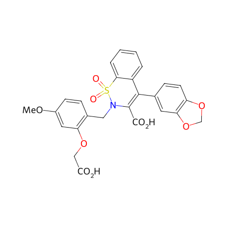 COc1ccc(CN2C(C(=O)O)=C(c3ccc4c(c3)OCO4)c3ccccc3S2(=O)=O)c(OCC(=O)O)c1